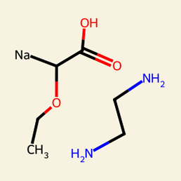 CCO[CH]([Na])C(=O)O.NCCN